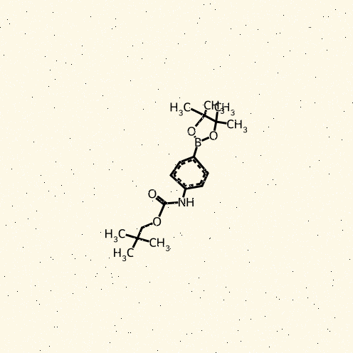 CC(C)(C)COC(=O)Nc1ccc(B2OC(C)(C)C(C)(C)O2)cc1